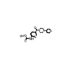 CC(C)(C)OC(=O)Nc1ccc(C(=O)N2CCN(c3ccncc3)CC2)cn1